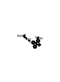 CNC(=O)/C=C/CNCCOc1ccc(/C(=C(\c2ccccc2)C2CCC2)c2ccc3[nH]cc(F)c3c2)cc1